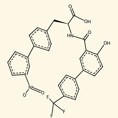 O=C(N[C@@H](Cc1ccc(-c2cccc([N+](=O)[O-])c2)cc1)C(=O)O)c1cc(-c2ccc(C(F)(F)F)cc2)ccc1O